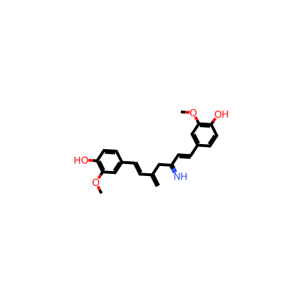 C=C(/C=C/c1ccc(O)c(OC)c1)CC(=N)/C=C/c1ccc(O)c(OC)c1